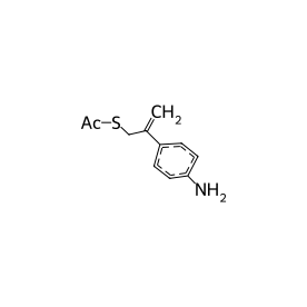 C=C(CSC(C)=O)c1ccc(N)cc1